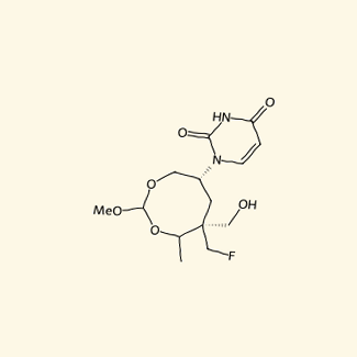 COC1OC[C@H](n2ccc(=O)[nH]c2=O)C[C@@](CO)(CF)C(C)O1